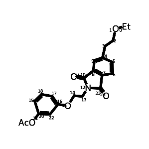 CCOCCc1ccc2c(c1)C(=O)N(CCOc1cccc(OC(C)=O)c1)C2=O